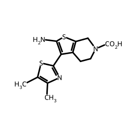 Cc1nc(-c2c(N)sc3c2CCN(C(=O)O)C3)sc1C